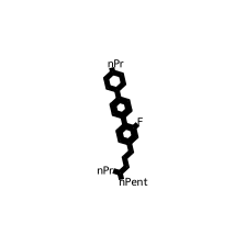 CCCCCC(CCC)CCCc1ccc(-c2ccc(C3CCC(CCC)CC3)cc2)c(F)c1